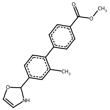 COC(=O)c1ccc(-c2ccc(C3NC=CO3)cc2C)cc1